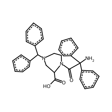 NC(C(=O)N1CCN(C(c2ccccc2)c2ccccc2)CC1C(=O)O)(c1ccccc1)c1ccccc1